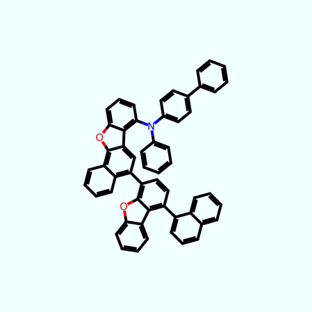 c1ccc(-c2ccc(N(c3ccccc3)c3cccc4oc5c6ccccc6c(-c6ccc(-c7cccc8ccccc78)c7c6oc6ccccc67)cc5c34)cc2)cc1